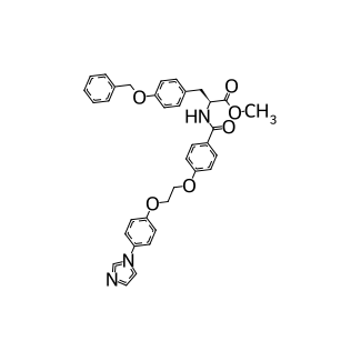 COC(=O)[C@H](Cc1ccc(OCc2ccccc2)cc1)NC(=O)c1ccc(OCCOc2ccc(-n3ccnc3)cc2)cc1